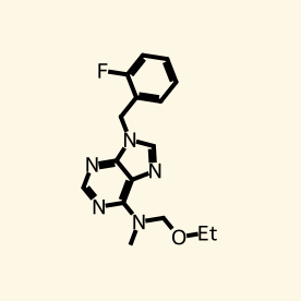 CCOCN(C)c1ncnc2c1ncn2Cc1ccccc1F